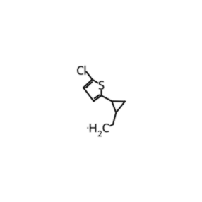 [CH2]CC1CC1c1ccc(Cl)s1